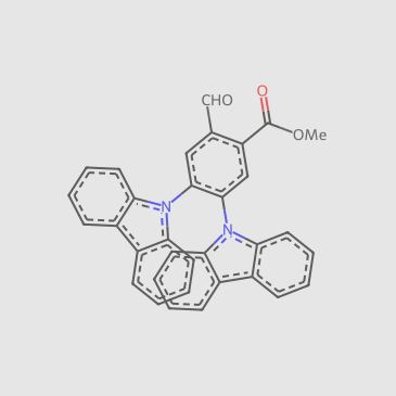 COC(=O)c1cc(-n2c3ccccc3c3ccccc32)c(-n2c3ccccc3c3ccccc32)cc1C=O